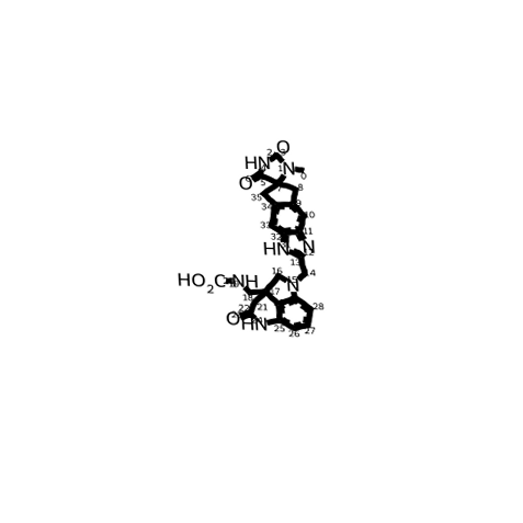 CN1C(=O)NC(=O)C12Cc1cc3nc(CN4CC5(CNC(=O)O)CC(=O)Nc6cccc4c65)[nH]c3cc1C2